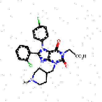 CC(=O)N1CCC(Cn2c(=O)n(CC(=O)O)c(=O)c3c2nc(-c2ccccc2Cl)n3-c2ccc(Cl)cc2)CC1